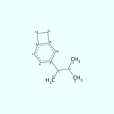 CC(C)C(C)c1ccc2c(c1)CC2